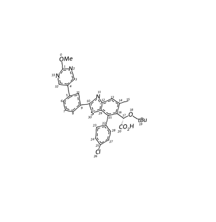 COc1ncc(-c2cccc(-c3nc4cc(C)c([C@H](OC(C)(C)C)C(=O)O)c(-c5ccc(Cl)cc5)c4s3)c2)cn1